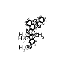 COc1ccc2c(c1)C(C)(C)C1(C=Nc3c(cc(S(=O)(=O)c4ccccc4)c4ccccc34)O1)N2C